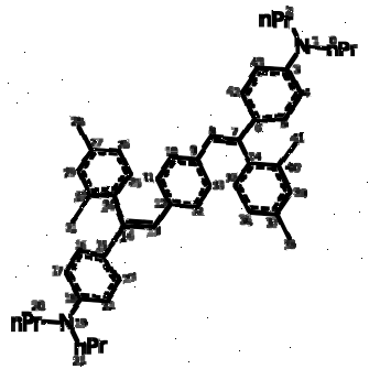 CCCN(CCC)c1ccc(C(=Cc2ccc(C=C(c3ccc(N(CCC)CCC)cc3)c3ccc(C)cc3C)cc2)c2ccc(C)cc2C)cc1